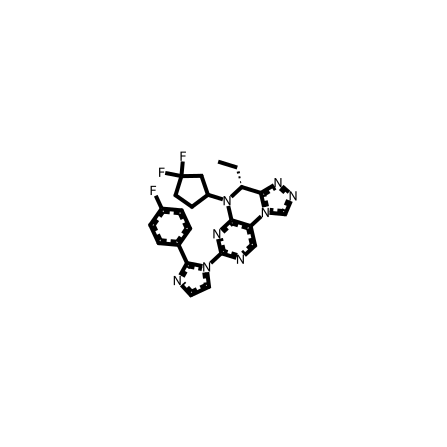 CC[C@@H]1c2nncn2-c2cnc(-n3ccnc3-c3ccc(F)cc3)nc2N1C1CCC(F)(F)C1